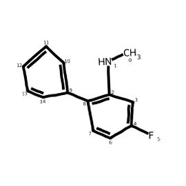 CNc1cc(F)ccc1-c1ccccc1